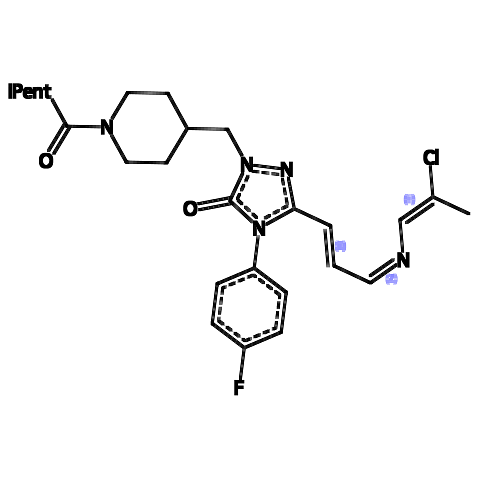 CCCC(C)C(=O)N1CCC(Cn2nc(/C=C/C=N\C=C(/C)Cl)n(-c3ccc(F)cc3)c2=O)CC1